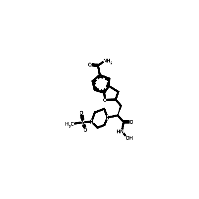 CS(=O)(=O)N1CCN([C@@H](CC2Cc3cc(C(N)=O)ccc3O2)C(=O)NO)CC1